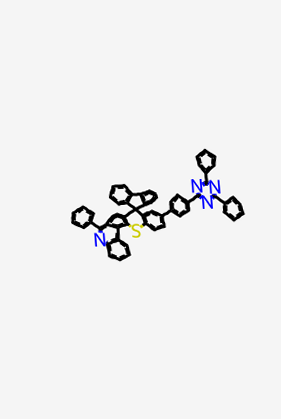 c1ccc(-c2nc(-c3ccccc3)nc(-c3ccc(-c4ccc5c(c4)C4(c6ccccc6-c6ccccc64)c4ccc6c(-c7ccccc7)nc7ccccc7c6c4S5)cc3)n2)cc1